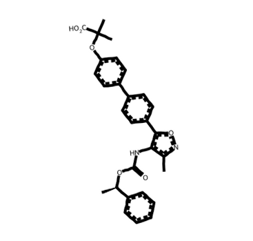 Cc1noc(-c2ccc(-c3ccc(OC(C)(C)C(=O)O)cc3)cc2)c1NC(=O)O[C@H](C)c1ccccc1